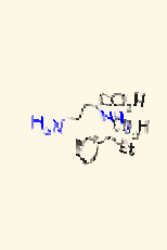 CCC(C(=O)O)c1ccccc1.NCCCC(N)C(=O)O